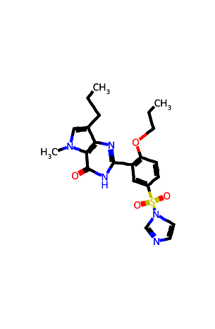 CCCOc1ccc(S(=O)(=O)n2ccnc2)cc1-c1nc2c(CCC)cn(C)c2c(=O)[nH]1